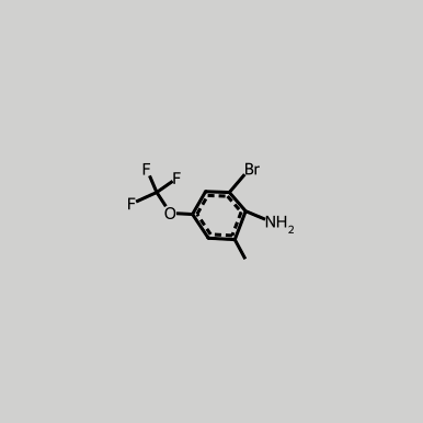 Cc1cc(OC(F)(F)F)cc(Br)c1N